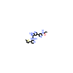 CCC(=O)Nc1cncc(-c2cnc3[nH]nc(-c4nc5c(-c6ccc(C)s6)ccnc5[nH]4)c3c2)c1